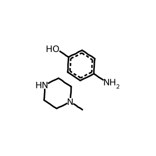 CN1CCNCC1.Nc1ccc(O)cc1